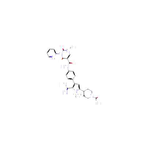 CNn1c(C2CCN(C(=O)C(C)C)CC2)cc(-c2ccc(NC(=O)c3cn(C(C)C)c(=O)n(-c4ccccn4)c3=O)cc2)c1C(=N)N